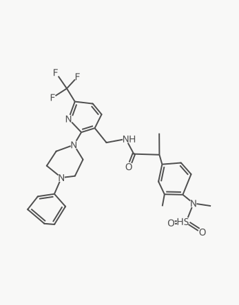 Cc1cc(C(C)C(=O)NCc2ccc(C(F)(F)F)nc2N2CCN(c3ccccc3)CC2)ccc1N(C)[SH](=O)=O